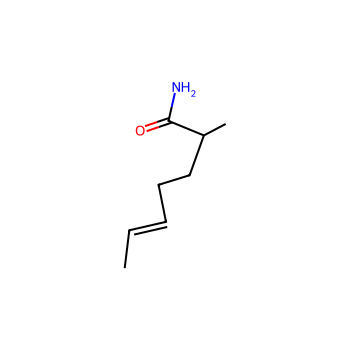 CC=CCCC(C)C(N)=O